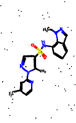 Cc1c(S(=O)(=O)Nc2cccc3cnn(C)c23)cnn1-c1cc(C(F)(F)F)ccn1